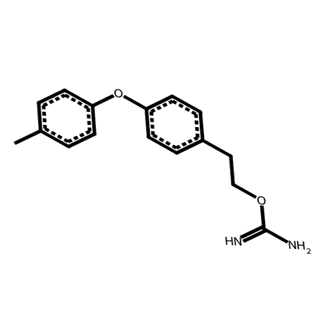 Cc1ccc(Oc2ccc(CCOC(=N)N)cc2)cc1